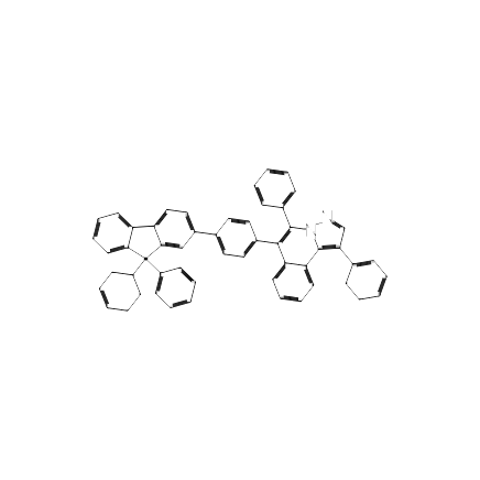 C1=CCCC(c2cnn3c(-c4ccccc4)c(-c4ccc(-c5ccc6c(c5)C(c5ccccc5)(C5CC=CCC5)c5ccccc5-6)cc4)c4ccccc4c23)=C1